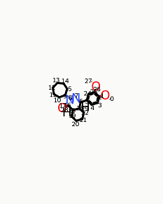 COc1ccc(C2=NN(C3CCCCCC3)C(=O)[C@@H]3CCCC[C@H]23)cc1OC